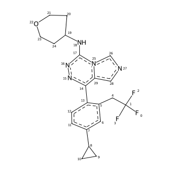 FC(F)(F)Cc1cc(C2CC2)ccc1-c1nnc(NC2CCOCC2)n2cncc12